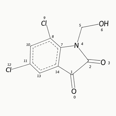 O=C1C(=O)N(CO)c2c(Cl)cc(Cl)cc21